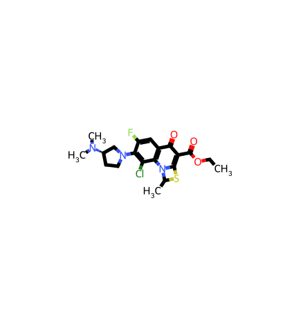 CCOC(=O)c1c2n(c3c(Cl)c(N4CC[C@@H](N(C)C)C4)c(F)cc3c1=O)C(C)S2